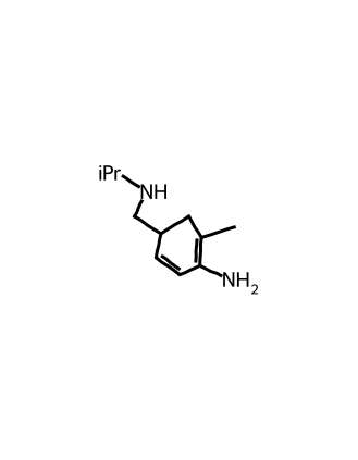 CC1=C(N)C=CC(CNC(C)C)C1